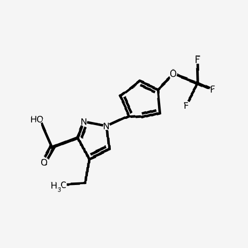 CCc1cn(-c2ccc(OC(F)(F)F)cc2)nc1C(=O)O